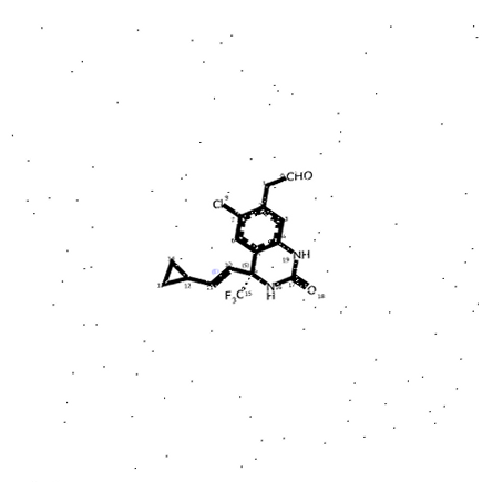 O=CCc1cc2c(cc1Cl)[C@@](/C=C/C1CC1)(C(F)(F)F)NC(=O)N2